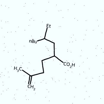 C=C(C)CCC(CC(CC)CCCC)C(=O)O